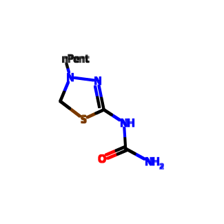 CCCCCN1CSC(NC(N)=O)=N1